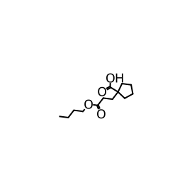 CCCCOC(=O)CCC1(C(=O)O)CCCC1